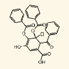 O=C(O)C1=CC(O)=C(OC(=O)c2ccccc2)C(Cl)(OC(=O)c2ccccc2)C1C(=O)c1ccccc1